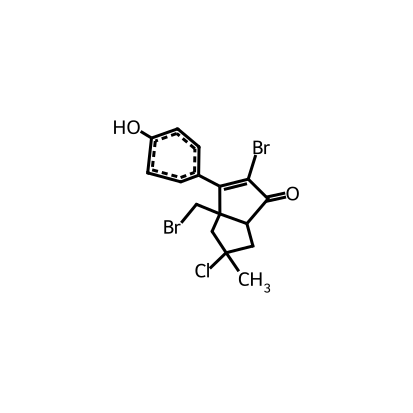 CC1(Cl)CC2C(=O)C(Br)=C(c3ccc(O)cc3)C2(CBr)C1